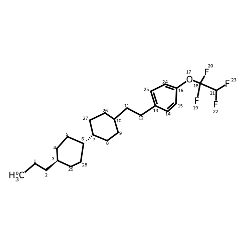 CCC[C@H]1CC[C@H](C2CCC(CCc3ccc(OC(F)(F)C(F)F)cc3)CC2)CC1